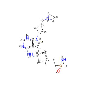 CS(=N)(=O)CCc1cccc(-c2cn([C@H]3C[C@@H](CN4CCC4)C3)c3ncnc(N)c23)c1